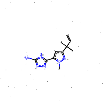 C=CC(C)(C)c1cc(-c2nnc(N)[nH]2)n(C)n1